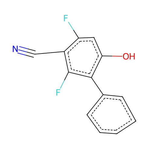 N#Cc1c(F)cc(O)c(-c2ccccc2)c1F